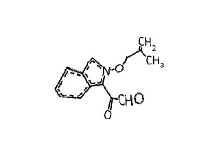 C=C(C)COn1cc2ccccc2c1C(=O)C=O